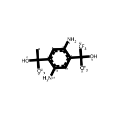 CC(O)(c1cc(N)c(C(O)(C(F)(F)F)C(F)(F)F)cc1N)C(F)(F)F